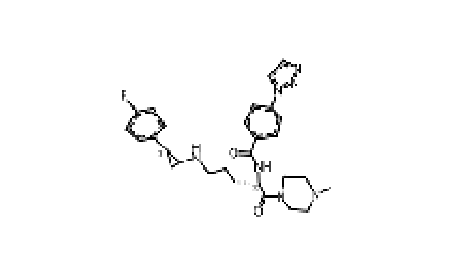 CN1CCN(C(=O)[C@H](CCCNC2C[C@H]2c2ccc(F)cc2)NC(=O)c2ccc(-n3ccnn3)cc2)CC1